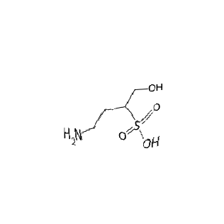 NCCC(CO)S(=O)(=O)O